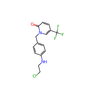 O=c1ccc(C(F)(F)F)cn1Cc1ccc(NCCCl)cc1